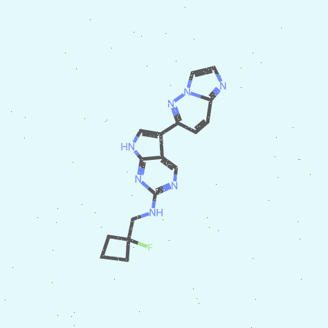 FC1(CNc2ncc3c(-c4ccc5nccn5n4)c[nH]c3n2)CCC1